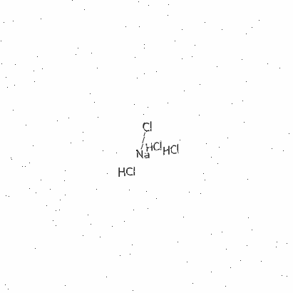 Cl.Cl.Cl.[Na][Cl]